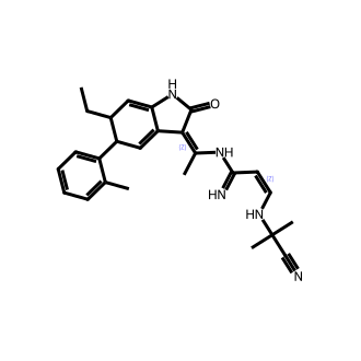 CCC1C=C2NC(=O)/C(=C(/C)NC(=N)/C=C\NC(C)(C)C#N)C2=CC1c1ccccc1C